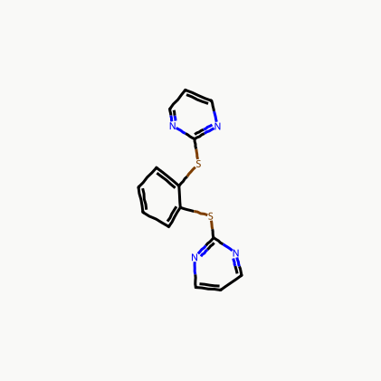 c1cnc(Sc2ccccc2Sc2ncccn2)nc1